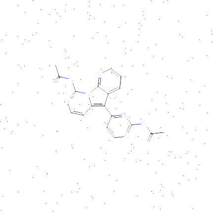 CC(=O)Nc1nccc(-c2c3cccnc3n3c(NC(C)=O)nccc23)n1